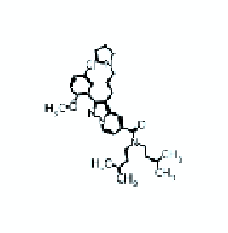 COc1ccc(Cl)cc1-c1nn2ccc(C(=O)N(CCC(C)C)CCC(C)C)cc2c1CCCN1CCCC1